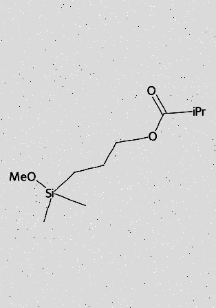 CO[Si](C)(C)CCCOC(=O)C(C)C